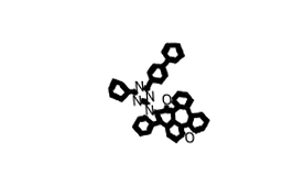 c1ccc(-c2ccc(-c3nc(-c4ccccc4)nc(-n4c5ccccc5c5c6ccc7oc8cccc9c8c7c6c6c(oc7cccc-9c76)c54)n3)cc2)cc1